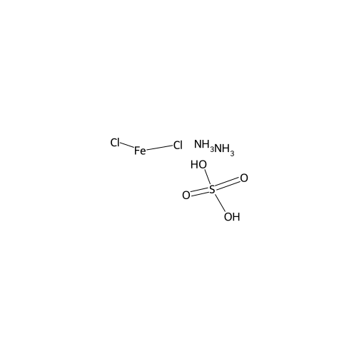 N.N.O=S(=O)(O)O.[Cl][Fe][Cl]